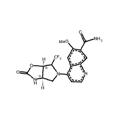 COc1cc2c(N3C[C@H]4NC(=O)O[C@H]4C3C(F)(F)F)ccnc2cc1C(N)=O